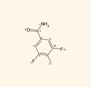 Cc1c(F)cc(C(N)=O)cc1F